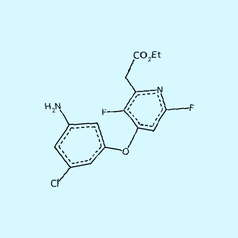 CCOC(=O)Cc1nc(F)cc(Oc2cc(N)cc(Cl)c2)c1F